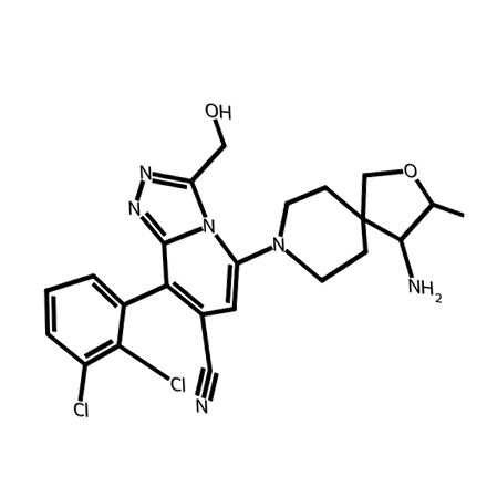 CC1OCC2(CCN(c3cc(C#N)c(-c4cccc(Cl)c4Cl)c4nnc(CO)n34)CC2)C1N